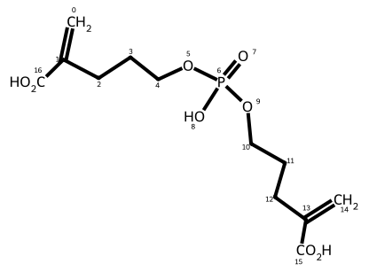 C=C(CCCOP(=O)(O)OCCCC(=C)C(=O)O)C(=O)O